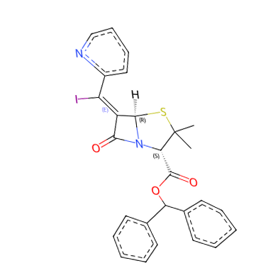 CC1(C)S[C@@H]2/C(=C(/I)c3ccccn3)C(=O)N2[C@H]1C(=O)OC(c1ccccc1)c1ccccc1